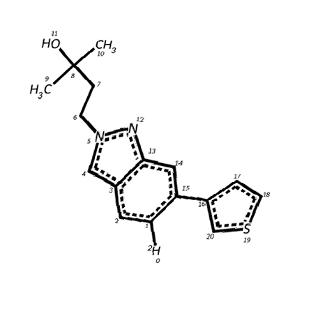 [2H]c1cc2cn(CCC(C)(C)O)nc2cc1-c1ccsc1